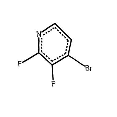 Fc1nccc(Br)c1F